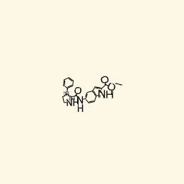 CCOC(=O)c1cc2cc(NC(=O)[C@H]3NCC[C@H]3c3ccccc3)ccc2[nH]1